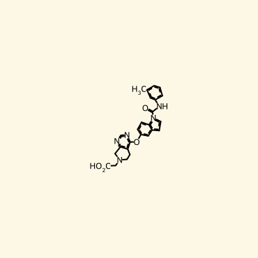 Cc1cccc(NC(=O)n2ccc3cc(Oc4ncnc5c4CCN(CC(=O)O)C5)ccc32)c1